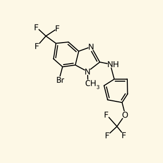 Cn1c(Nc2ccc(OC(F)(F)F)cc2)nc2cc(C(F)(F)F)cc(Br)c21